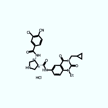 CCn1c(=O)n(CC2CC2)c(=O)c2cc(NC(=O)[C@@H]3CNC[C@@H]3NC(=O)c3ccc(C#N)c(Cl)c3)ccc21.Cl